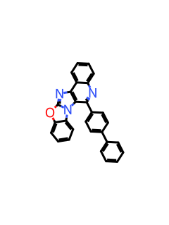 c1ccc(-c2ccc(-c3nc4ccccc4c4nc5oc6ccccc6n5c34)cc2)cc1